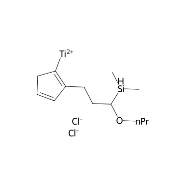 CCCOC(CCC1=[C]([Ti+2])CC=C1)[SiH](C)C.[Cl-].[Cl-]